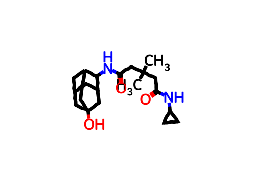 CC(C)(CC(=O)NC1CC1)CC(=O)NC1C2CC3CC1CC(O)(C3)C2